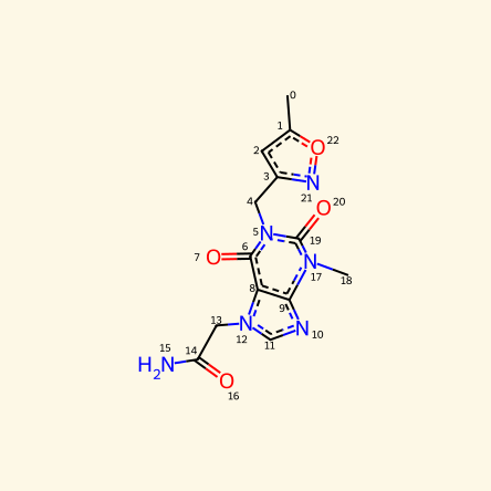 Cc1cc(Cn2c(=O)c3c(ncn3CC(N)=O)n(C)c2=O)no1